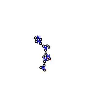 c1ccc(-n2c3ccccc3c3cc(-c4ccc5c(c4)c4cc6ccccc6cc4n5-c4cccc5c4-c4cncc6cc(-c7ccc(-n8c9ccc(-c%10ccc%11c(c%10)c%10ccccc%10n%11-c%10cccc%11c%10-c%10cncc%12cccc-%11c%10%12)cc9c9ccc%10ccccc%10c98)cc7)cc-5c46)ccc32)cc1